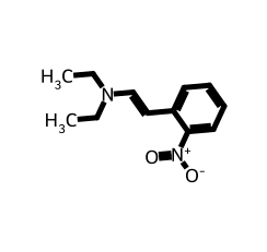 CCN(C=Cc1ccccc1[N+](=O)[O-])CC